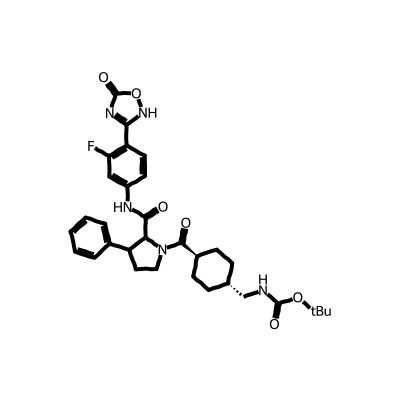 CC(C)(C)OC(=O)NC[C@H]1CC[C@H](C(=O)N2CCC(c3ccccc3)C2C(=O)Nc2ccc(-c3nc(=O)o[nH]3)c(F)c2)CC1